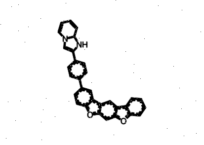 C1=CC2NC(c3ccc(-c4ccc5oc6cc7oc8ccccc8c7cc6c5c4)cc3)=CN2C=C1